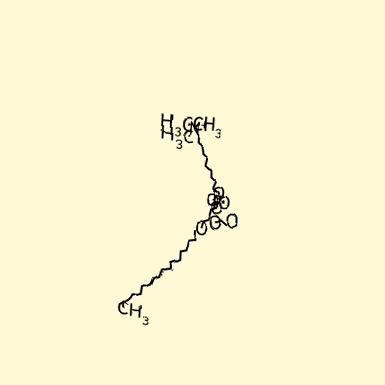 CCCCCCCCCCCCCCCCCCOCC(COP(=O)([O-])OCCCCCCCCCC[N+](C)(C)C)OCC=O